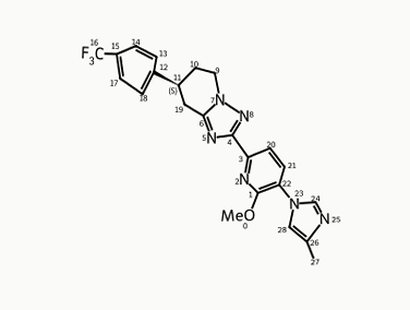 COc1nc(-c2nc3n(n2)CC[C@H](c2ccc(C(F)(F)F)cc2)C3)ccc1-n1cnc(C)c1